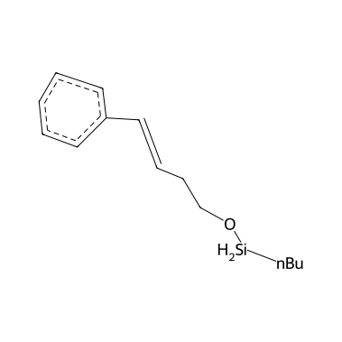 CCCC[SiH2]OCCC=Cc1ccccc1